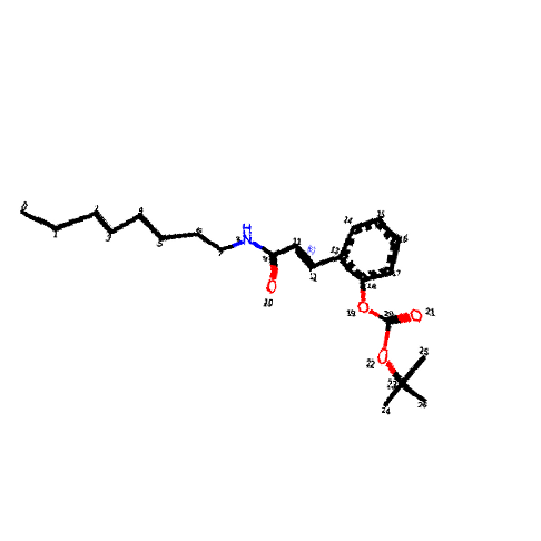 CCCCCCCCNC(=O)/C=C/c1ccccc1OC(=O)OC(C)(C)C